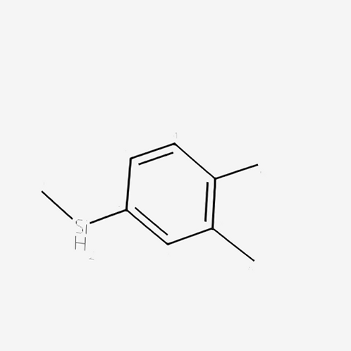 C[SiH2]c1ccc(C)c(C)c1